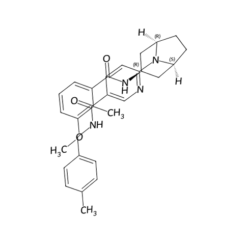 COc1cccc(C(=O)N[C@H]2C[C@H]3CC[C@@H](C2)N3c2ccc(C(=O)NCc3ccc(C)cc3)cn2)c1C